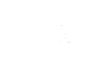 NCCSc1cc(N)nc(N)n1